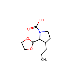 CCCC1CCN(C(=O)O)C1B1OCCO1